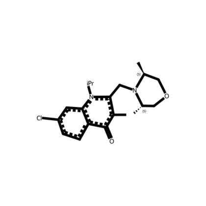 Cc1c(CN2[C@@H](C)COC[C@@H]2C)n(C(C)C)c2cc(Cl)ccc2c1=O